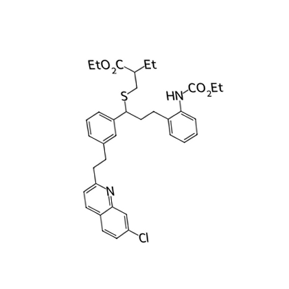 CCOC(=O)Nc1ccccc1CCC(SCC(CC)C(=O)OCC)c1cccc(CCc2ccc3ccc(Cl)cc3n2)c1